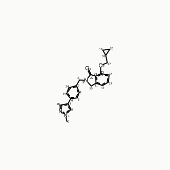 Cn1cc(-c2ccc(CN3Cc4cccc(OCC5CC5)c4C3=O)cc2)cn1